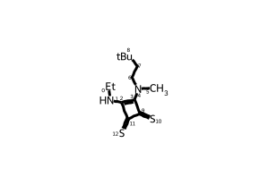 CCNc1c(N(C)CCC(C)(C)C)c(=S)c1=S